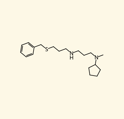 CN(CCCNCCCSCc1ccccc1)C1CCCC1